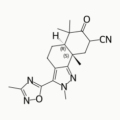 Cc1noc(-c2c3c(nn2C)[C@@]2(C)CC(C#N)C(=O)C(C)(C)[C@@H]2CC3)n1